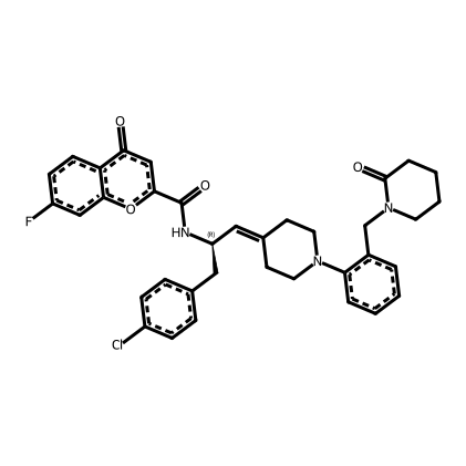 O=C(N[C@@H](C=C1CCN(c2ccccc2CN2CCCCC2=O)CC1)Cc1ccc(Cl)cc1)c1cc(=O)c2ccc(F)cc2o1